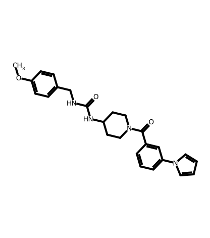 COc1ccc(CNC(=O)NC2CCN(C(=O)c3cccc(-n4cccc4)c3)CC2)cc1